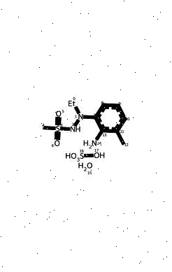 CCN(NS(C)(=O)=O)c1cccc(C)c1N.O.O=S(=O)(O)O